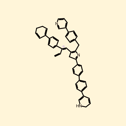 C=C/C(=C\C1=C(Cc2ccc(-c3cccnc3)cc2)N=C(c2ccc(-c3ccc(C4=CNCC=C4)cc3)cc2)C1)c1ccc(C2=CCCC=C2)cc1